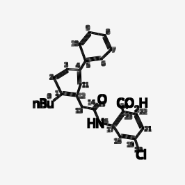 CCCCc1ccc(-c2ccccc2)cc1CC(=O)Nc1cc(Cl)ccc1C(=O)O